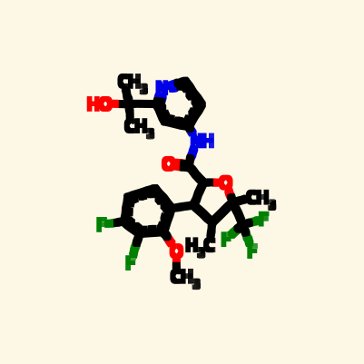 COc1c(C2C(C(=O)Nc3ccnc(C(C)(C)O)c3)OC(C)(C(F)(F)F)C2C)ccc(F)c1F